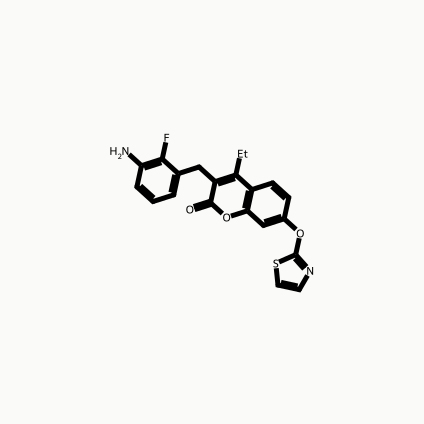 CCc1c(Cc2cccc(N)c2F)c(=O)oc2cc(Oc3nccs3)ccc12